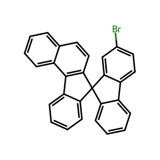 Brc1ccc2c(c1)C1(c3ccccc3-2)c2ccccc2-c2c1ccc1ccccc21